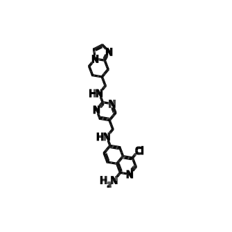 Nc1ncc(Cl)c2cc(NCc3cnc(NCC4CCn5ccnc5C4)nc3)ccc12